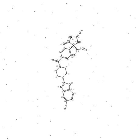 CC(C)[C@]1(c2ccc(C(=O)N3CCC(c4nc5cc(Cl)ccc5o4)CC3)cc2)NC(=O)NC1=O